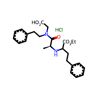 CCOC(=O)C(CCc1ccccc1)N[C@@H](C)C(=O)N(CCc1ccccc1)CC(=O)O.Cl